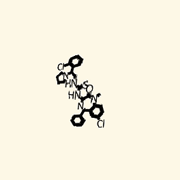 CN1C(=O)C(NC(=S)NCC(c2ccccc2Cl)N2CCCC2)N=C(c2ccccc2)c2cc(Cl)ccc21